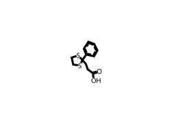 O=C(O)CCC1(c2ccccc2)SCCS1